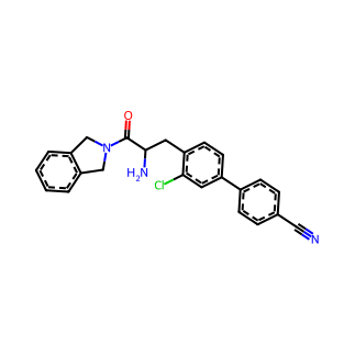 N#Cc1ccc(-c2ccc(CC(N)C(=O)N3Cc4ccccc4C3)c(Cl)c2)cc1